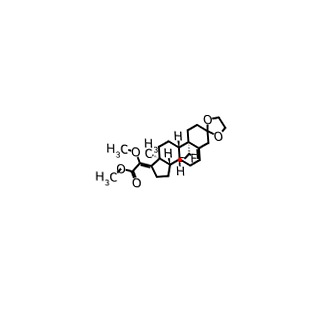 COC(=O)C(OC)=C1CC[C@H]2[C@@H]3CC=C4CC5(CC[C@]4(C(F)F)[C@H]3CC[C@]12C)OCCO5